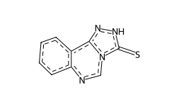 S=c1[nH]nc2c3ccccc3ncn12